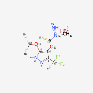 Br.C.Cn1nc(C(F)(F)F)c(OC(=S)N=N)c1OC(F)F